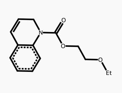 CCOCCOC(=O)N1CC=Cc2ccccc21